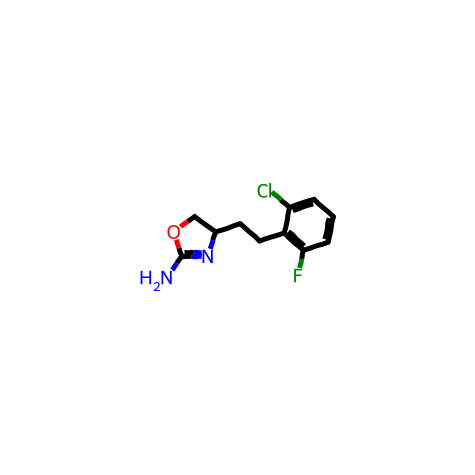 NC1=NC(CCc2c(F)cccc2Cl)CO1